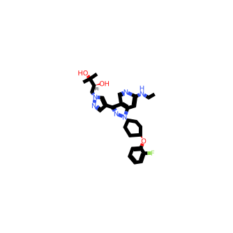 CCNc1cc2c(cn1)c(-c1cnn(C[C@@H](O)C(C)(C)O)c1)nn2[C@H]1CC[C@@H](Oc2ccccc2F)CC1